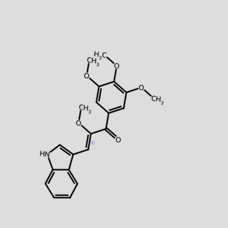 CO/C(=C\c1c[nH]c2ccccc12)C(=O)c1cc(OC)c(OC)c(OC)c1